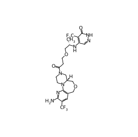 C[C@@H](COCCC(=O)N1CCN2c3nc(N)c(C(F)(F)F)cc3COC[C@H]2C1)Nc1cn[nH]c(=O)c1C(F)(F)F